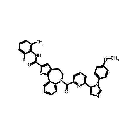 COc1ccc(-n2cncc2-c2cccc(C(=O)N3CCc4cc(C(=O)Nc5c(C)cccc5F)sc4-c4ccccc43)n2)cc1